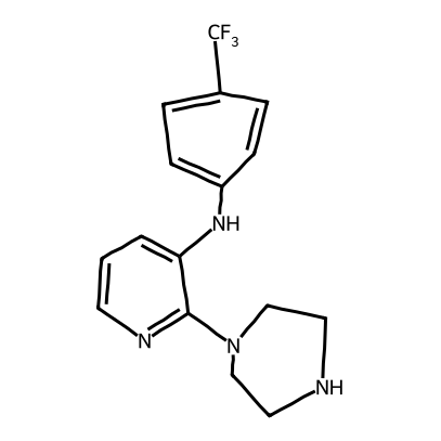 FC(F)(F)c1ccc(Nc2cccnc2N2CCNCC2)cc1